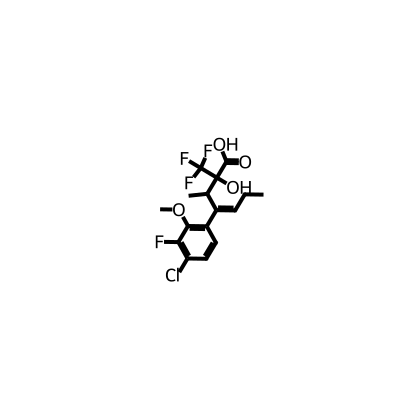 CCC=C(c1ccc(Cl)c(F)c1OC)C(C)C(O)(C(=O)O)C(F)(F)F